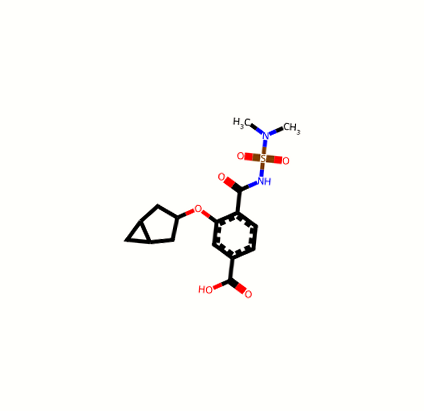 CN(C)S(=O)(=O)NC(=O)c1ccc(C(=O)O)cc1OC1CC2CC2C1